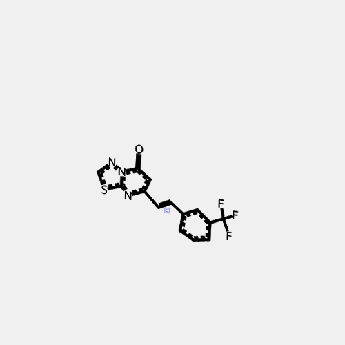 O=c1cc(/C=C/c2cccc(C(F)(F)F)c2)nc2scnn12